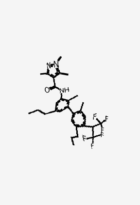 CCCc1cc(NC(=O)c2c(C)nn(C)c2C)c(C)c(-c2cc(CCC)c(C(C(F)(F)F)C(F)(F)F)cc2C)c1